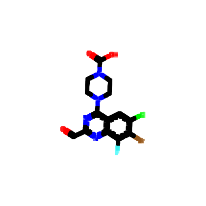 O=Cc1nc(N2CCN(C(=O)O)CC2)c2cc(Cl)c(Br)c(F)c2n1